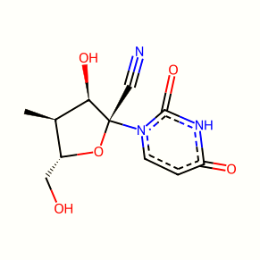 C[C@H]1[C@@H](O)[C@](C#N)(n2ccc(=O)[nH]c2=O)O[C@@H]1CO